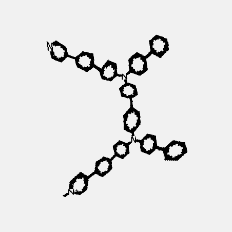 C[n+]1ccc(-c2ccc(-c3ccc(N(c4ccc(-c5ccccc5)cc4)c4ccc(-c5ccc(N(c6ccc(-c7ccccc7)cc6)c6ccc(-c7ccc(-c8ccncc8)cc7)cc6)cc5)cc4)cc3)cc2)cc1